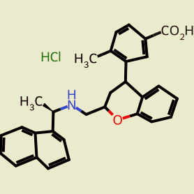 Cc1ccc(C(=O)O)cc1C1CC(CN[C@H](C)c2cccc3ccccc23)Oc2ccccc21.Cl